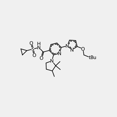 CC1CCN(c2nc(-n3ccc(OCC(C)(C)C)n3)ccc2C(=O)NS(=O)(=O)C2CC2)C1(C)C